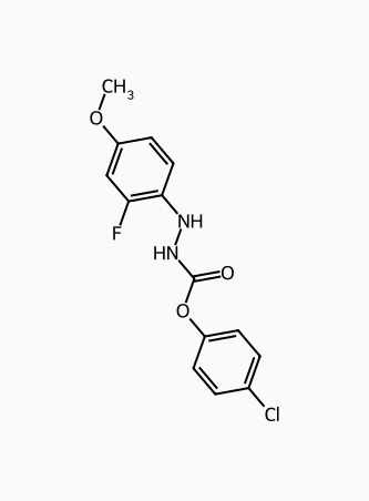 COc1ccc(NNC(=O)Oc2ccc(Cl)cc2)c(F)c1